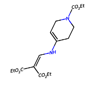 CCOC(=O)C(=CNC1=CCN(C(=O)OCC)CC1)C(=O)OCC